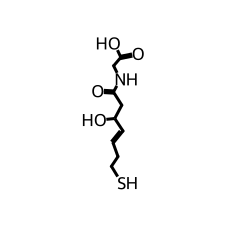 O=C(O)CNC(=O)CC(O)/C=C/CCS